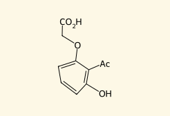 CC(=O)c1c(O)cccc1OCC(=O)O